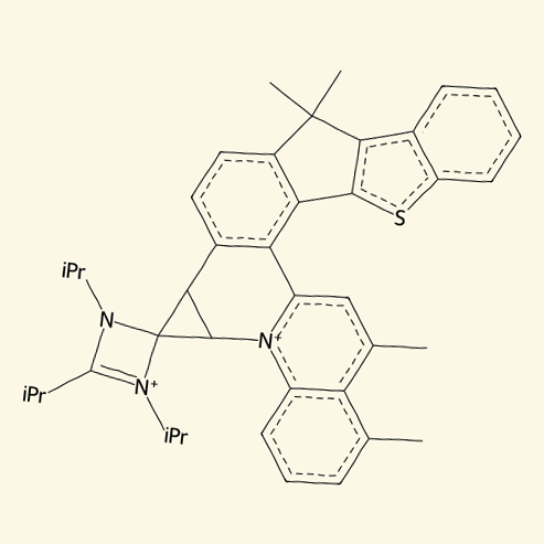 Cc1cccc2c1c(C)cc1[n+]2C2C(c3ccc4c(c3-1)-c1sc3ccccc3c1C4(C)C)C21N(C(C)C)C(C(C)C)=[N+]1C(C)C